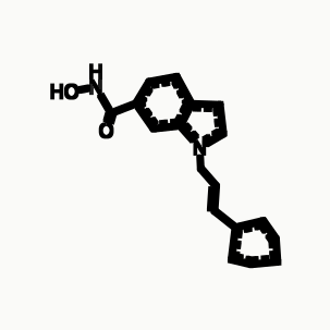 O=C(NO)c1ccc2ccn(CC=Cc3ccccc3)c2c1